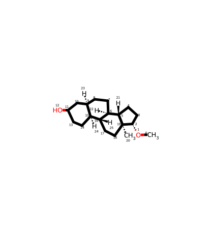 CO[C@H]1CC[C@H]2[C@@H]3CC[C@@H]4CC(O)CC[C@@H]4[C@H]3CC[C@]12C